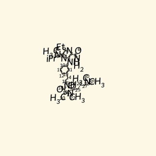 CCc1nc(C(N)=O)c(Nc2cccc(CCNC(=O)[C@H](C)N(C)C(=O)CCCN(C)C)c2)nc1N(C)C(C)C